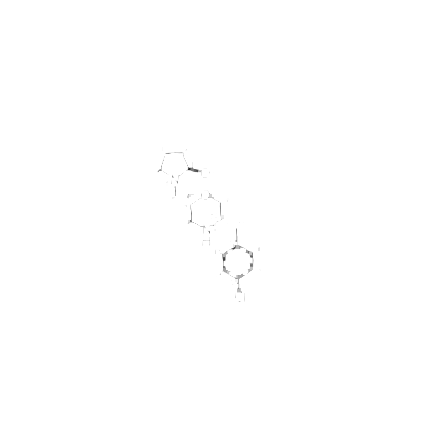 O=C1CCCN1C[C@H]1CN[C@@H](Cc2ccc(Cl)cc2)CO1